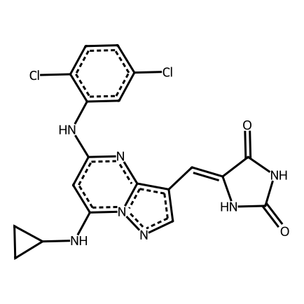 O=C1NC(=O)C(=Cc2cnn3c(NC4CC4)cc(Nc4cc(Cl)ccc4Cl)nc23)N1